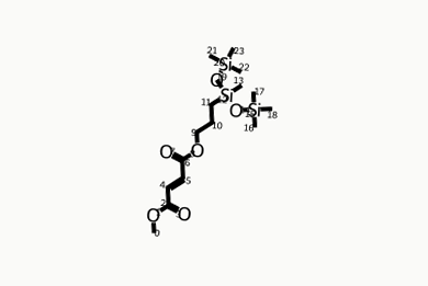 COC(=O)/C=C/C(=O)OCCC[Si](C)(O[Si](C)(C)C)O[Si](C)(C)C